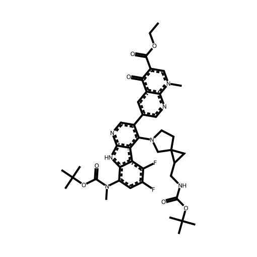 CCOC(=O)c1cn(C)c2ncc(-c3cnc4[nH]c5c(N(C)C(=O)OC(C)(C)C)cc(F)c(F)c5c4c3N3CCC4(CC4CNC(=O)OC(C)(C)C)C3)cc2c1=O